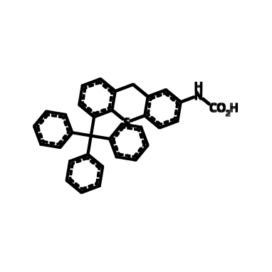 O=C(O)Nc1ccc2c(c1)Cc1cccc(C(c3ccccc3)(c3ccccc3)c3ccccc3)c1S2